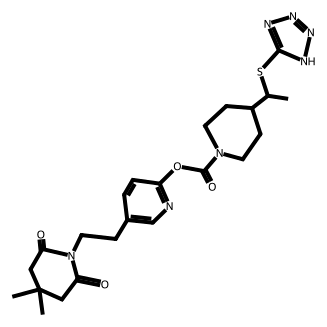 CC(Sc1nnn[nH]1)C1CCN(C(=O)Oc2ccc(CCN3C(=O)CC(C)(C)CC3=O)cn2)CC1